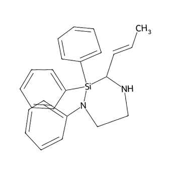 CC=CC1NCCN(c2ccccc2)[Si]1(c1ccccc1)c1ccccc1